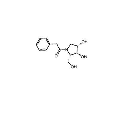 O=C(Cc1ccccc1)N1C[C@H](O)[C@@H](O)[C@@H]1CO